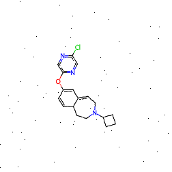 Clc1cnc(OC2=CC3=CCN(C4CCC4)CCC3C=C2)cn1